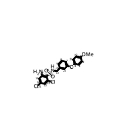 COc1ccc(Oc2cccc(CNS(=O)(=O)c3c(N)cc(Cl)cc3Cl)c2)cc1